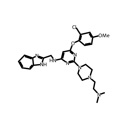 COc1ccc(Oc2cc(NCc3nc4ccccc4[nH]3)nc(N3CCN(CCN(C)C)CC3)n2)c(Cl)c1